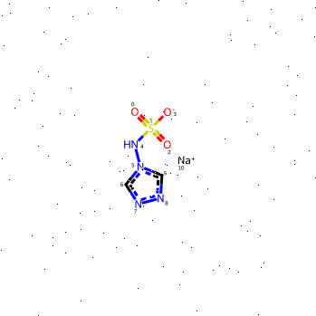 O=S(=O)([O-])Nn1cnnc1.[Na+]